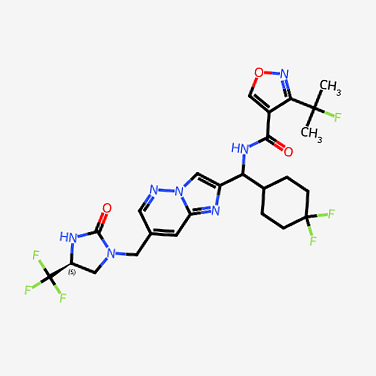 CC(C)(F)c1nocc1C(=O)NC(c1cn2ncc(CN3C[C@@H](C(F)(F)F)NC3=O)cc2n1)C1CCC(F)(F)CC1